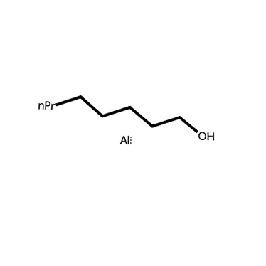 CCCCCCCCO.[Al]